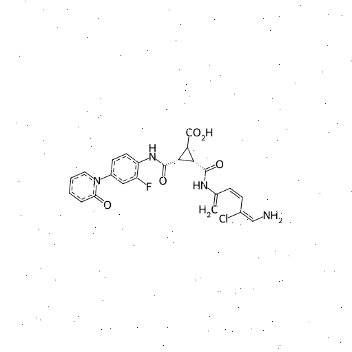 C=C(/C=C\C(Cl)=C/N)NC(=O)[C@H]1C(C(=O)O)[C@H]1C(=O)Nc1ccc(-n2ccccc2=O)cc1F